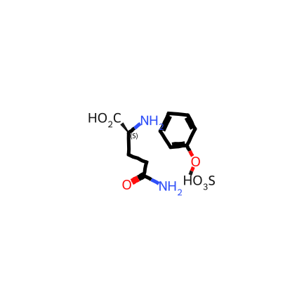 NC(=O)CC[C@H](N)C(=O)O.O=S(=O)(O)Oc1ccccc1